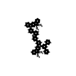 CC1(C)c2ccccc2-c2cc3c4ccccc4n(-c4cccc(-c5cccc6c5oc5ccc(-c7ccc8c(c7)c7cc9c(cc7n8-c7cc(-c8ccccc8)cc(-c8ccccc8)c7)C(C)(C)c7ccccc7-9)cc56)c4)c3cc21